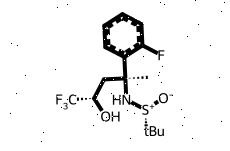 CC(C)(C)[S@@+]([O-])N[C@@](C)(C[C@H](O)C(F)(F)F)c1ccccc1F